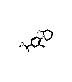 COC(=O)c1ccc(N2CCCCC2N)c(F)c1